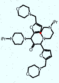 CC(C)N1CCN(C(C(=O)C(c2ccc(CN3CCOCC3)o2)N2CCN(C(C)C)CC2)c2ccc(CN3CCOCC3)o2)CC1